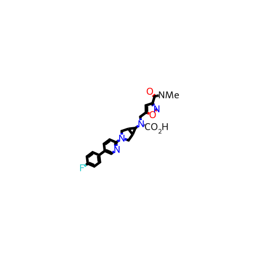 CNC(=O)c1cc(CN(C(=O)O)C2C3CN(c4ccc(-c5ccc(F)cc5)cn4)CC32)on1